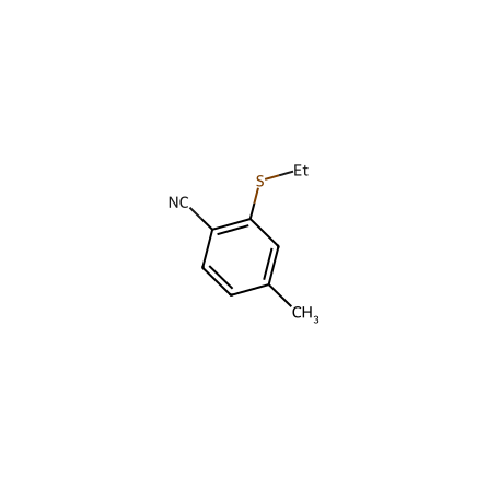 CCSc1cc(C)ccc1C#N